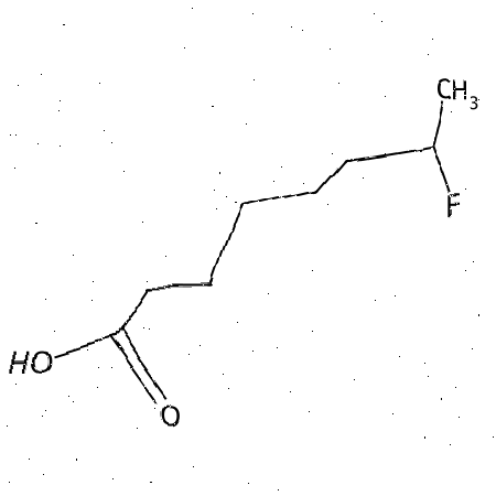 CC(F)CCCCCC(=O)O